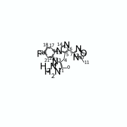 C/C(N)=C1\Cc2c(-c3noc(C)n3)ncn2-c2ccc(F)cc2N1N